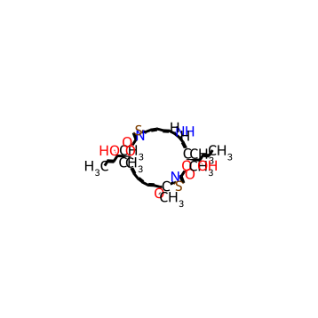 C/C=C/[C@H](O)C(C)(C)[C@@H]1C\C=C/C=C\C=C\[C@H](OC)Cc2nc(cs2)C(=O)O[C@H](C(C)(C)[C@@H](O)/C=C/C)C/C=C\[C@H]2N[C@H]2/C=C/C=C\c2nc(cs2)C(=O)O1